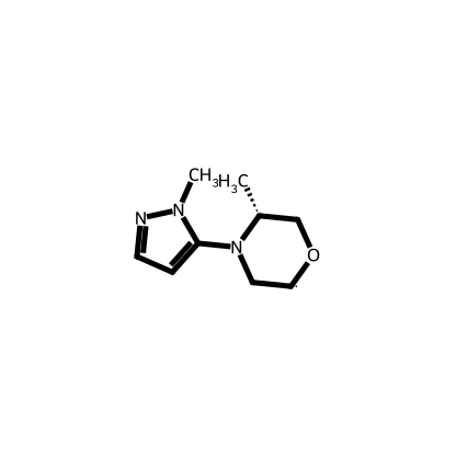 C[C@@H]1CO[CH]CN1c1ccnn1C